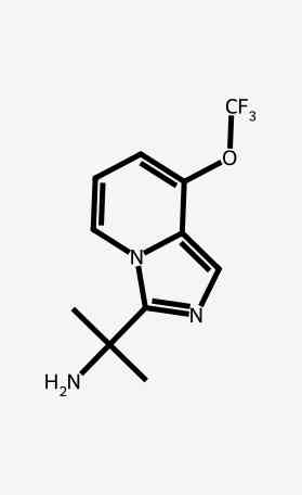 CC(C)(N)c1ncc2c(OC(F)(F)F)cccn12